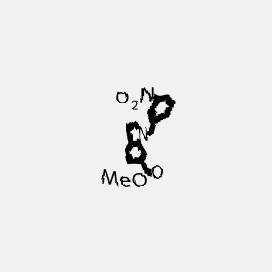 COC(=O)c1ccc2ccn(Cc3cccc([N+](=O)[O-])c3)c2c1